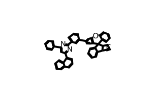 C1=CC2c3ccccc3C3(c4ccccc4Oc4cc(-c5cccc(-c6nc(-c7ccccc7)cc(-c7cccc8ccccc78)n6)c5)ccc43)C2CC1